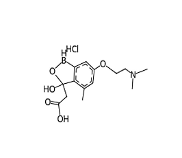 Cc1cc(OCCN(C)C)cc2c1C(O)(CC(=O)O)OB2.Cl